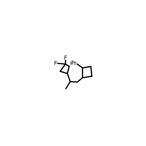 CC(C)C1CCC1CC(C)C1CC(F)(F)C1